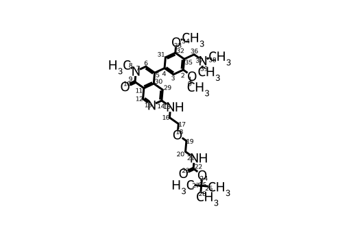 COc1cc(-c2cn(C)c(=O)c3cnc(NCCOCCNC(=O)OC(C)(C)C)cc23)cc(OC)c1CN(C)C